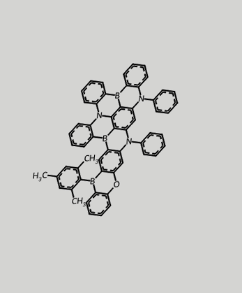 Cc1cc(C)c(B2c3ccccc3Oc3cc4c(cc32)B2c3ccccc3N3c5ccccc5B5c6ccccc6N(c6ccccc6)c6cc(c2c3c65)N4c2ccccc2)c(C)c1